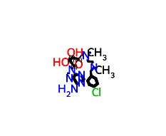 CN(CCN(C)C[C@H]1O[C@@H](n2cnc3c(N)ncnc32)[C@H](O)[C@@H]1O)Cc1ccc(Cl)cc1